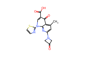 Cc1cc(N2CC(=O)C2)nc2c1c(=O)c(C(=O)O)cn2-c1nccs1